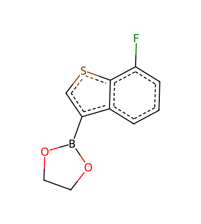 Fc1cccc2c(B3OCCO3)csc12